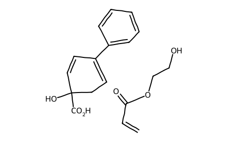 C=CC(=O)OCCO.O=C(O)C1(O)C=CC(c2ccccc2)=CC1